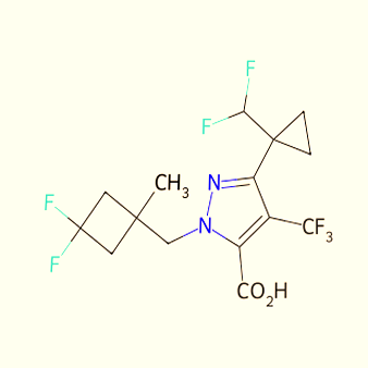 CC1(Cn2nc(C3(C(F)F)CC3)c(C(F)(F)F)c2C(=O)O)CC(F)(F)C1